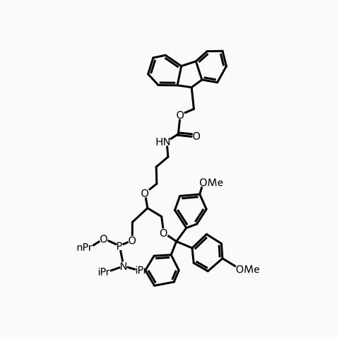 CCCOP(OCC(COC(c1ccccc1)(c1ccc(OC)cc1)c1ccc(OC)cc1)OCCCNC(=O)OCC1c2ccccc2-c2ccccc21)N(C(C)C)C(C)C